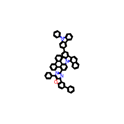 c1ccc(-c2ccc3oc4c(-c5ccccc5)nc(-c5ccc(-n6c7ccc(-c8ccc9c(c8)c8ccccc8n9-c8ccccc8)cc7c7ccc8ccccc8c76)c6c7ccccc7c7ccccc7c56)nc4c3c2)cc1